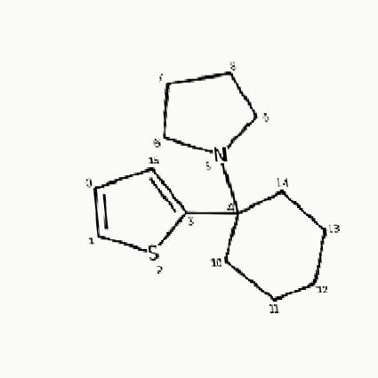 c1csc(C2(N3CCCC3)CCCCC2)c1